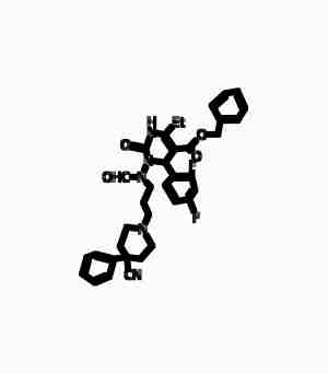 CCC1=C(C(=O)OCc2ccccc2)C(c2ccc(F)cc2F)N(N(C=O)CCCN2CCC(C#N)(c3ccccc3)CC2)C(=O)N1